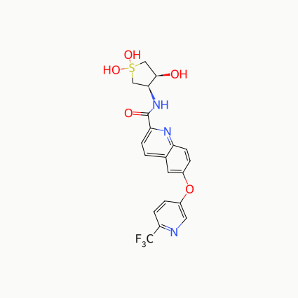 O=C(N[C@H]1CS(O)(O)C[C@H]1O)c1ccc2cc(Oc3ccc(C(F)(F)F)nc3)ccc2n1